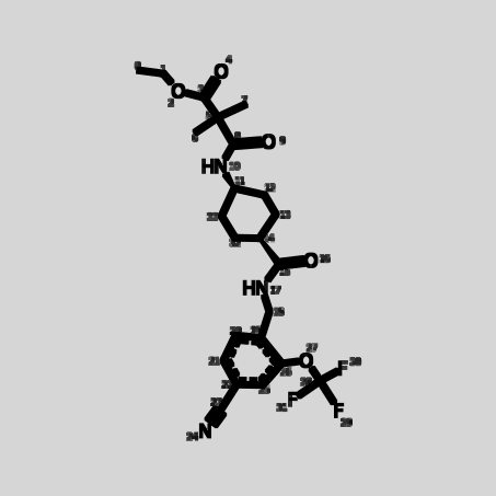 CCOC(=O)C(C)(C)C(=O)N[C@H]1CC[C@@H](C(=O)NCc2ccc(C#N)cc2OC(F)(F)F)CC1